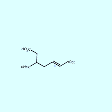 CCCCCCCC/C=C/CC(CCCCCC)CC(=O)O